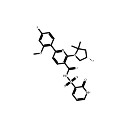 COc1cc(F)ccc1-c1ccc(C(=O)NS(=O)(=O)c2ccc[nH]c2=O)c(N2C[C@@H](C)CC2(C)C)n1